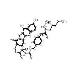 CCc1c2c(nc3ccc(O)cc13)-c1cc3c(c(=O)n1C2)COC(=O)C3(CC)OC(=O)OCc1ccc(NC(=O)C(CCCCN)NC=O)cc1